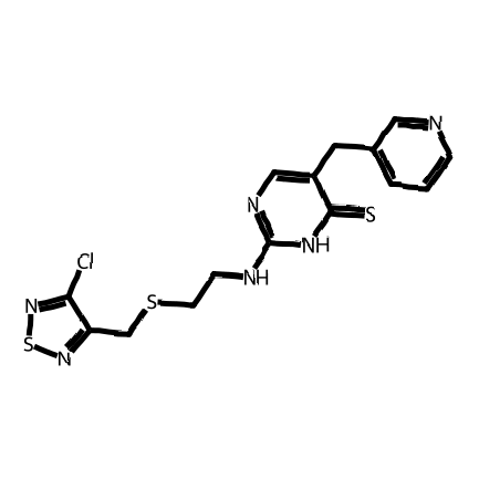 S=c1[nH]c(NCCSCc2nsnc2Cl)ncc1Cc1cccnc1